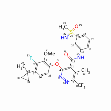 COc1c(Oc2nnc(C(F)(F)F)c(C)c2C(=O)Nc2cccc(S(C)(=N)=O)c2)ccc(C2(C)CC2)c1F